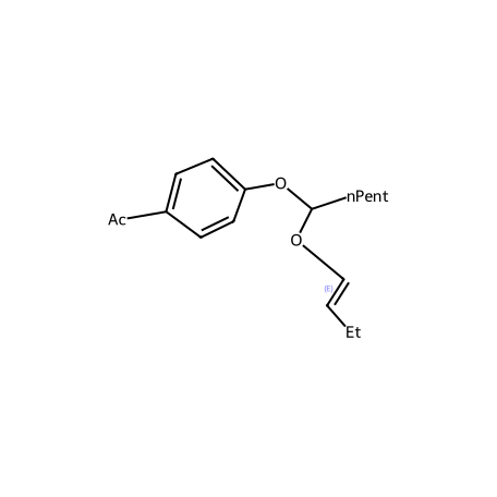 CC/C=C/OC(CCCCC)Oc1ccc(C(C)=O)cc1